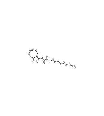 CC1CCC#CCCC1COC(=O)NCCOCCOCCN